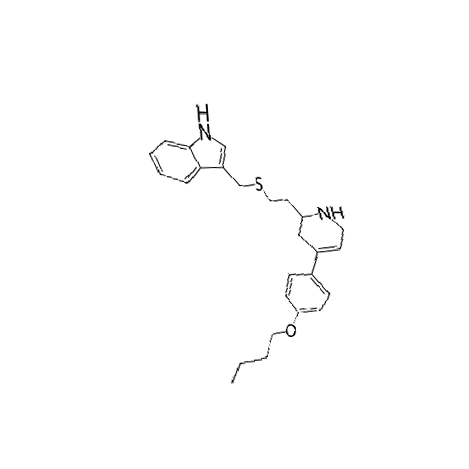 CCCCOc1ccc(C2=CCNC(CCSCc3c[nH]c4ccccc34)C2)cc1